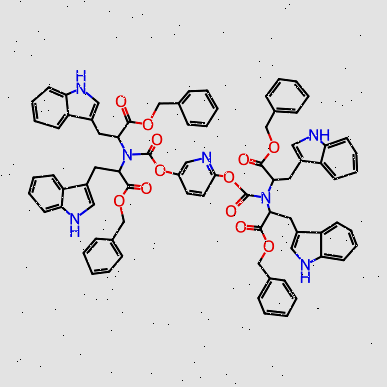 O=C(OCc1ccccc1)C(Cc1c[nH]c2ccccc12)N(C(=O)Oc1ccc(OC(=O)N(C(Cc2c[nH]c3ccccc23)C(=O)OCc2ccccc2)C(Cc2c[nH]c3ccccc23)C(=O)OCc2ccccc2)nc1)C(Cc1c[nH]c2ccccc12)C(=O)OCc1ccccc1